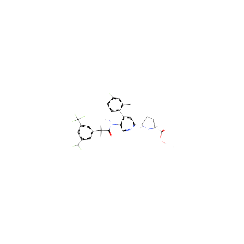 COC(=O)[C@@H]1CC[C@H](c2cc(-c3ccc(F)cc3C)c(N(C)C(=O)C(C)(C)c3cc(C(F)F)cc(C(F)(F)F)c3)cn2)N1